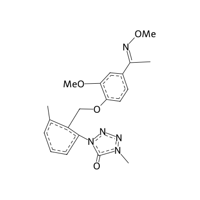 CON=C(C)c1ccc(OCc2c(C)cccc2-n2nnn(C)c2=O)c(OC)c1